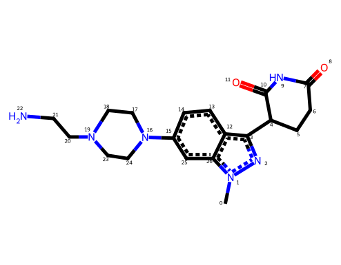 Cn1nc(C2CCC(=O)NC2=O)c2ccc(N3CCN(CCN)CC3)cc21